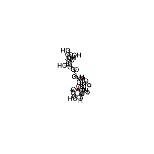 COC(CO)OCC(CO)OC(CO)OCC(COC(=O)CCC(=O)NCC(=O)O[C@@H](C(=O)O[C@H]1C[C@@]2(O)[C@@H](OC(=O)c3ccccc3)C3[C@](C)(C(=O)[C@H](OC(C)=O)C(=C1C)C2(C)C)[C@@H](O)C[C@H]1CC[C@@]31C(C)=O)[C@@H](NC(=O)c1ccccc1)c1ccccc1)OC(CO)OCC(C)CO